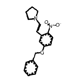 O=[N+]([O-])c1ccc(OCc2ccccc2)cc1C=CN1CCCC1